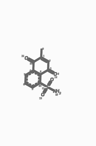 CC1=CC(=O)c2c(cccc2S(N)(=O)=O)C1=O